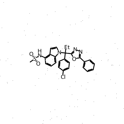 CCC(c1ccc(Cl)cc1)(c1nnc(-c2ccccc2)o1)n1ccc2c(NS(C)(=O)=O)cccc21